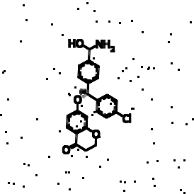 NC(O)c1ccc([C@@H](Oc2ccc3c(c2)OCCC3=O)c2ccc(Cl)cc2)cc1